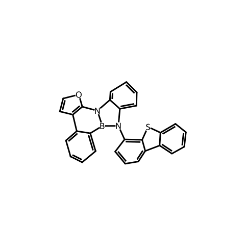 c1ccc2c(c1)B1N(c3ccccc3N1c1cccc3c1sc1ccccc13)c1occc1-2